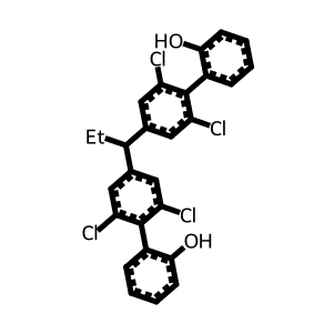 CCC(c1cc(Cl)c(-c2ccccc2O)c(Cl)c1)c1cc(Cl)c(-c2ccccc2O)c(Cl)c1